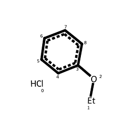 Cl.[CH2]COc1ccccc1